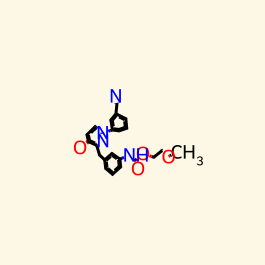 COCCOC(=O)Nc1cccc(Cc2nn(-c3cccc(C#N)c3)ccc2=O)c1